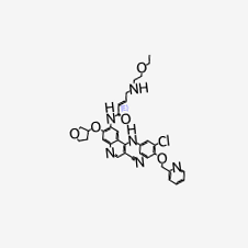 CCOCCNC/C=C/C(=O)Nc1cc2c(Nc3ccc(OCc4ccccn4)c(Cl)c3)c(C#N)cnc2cc1OC1CCOC1